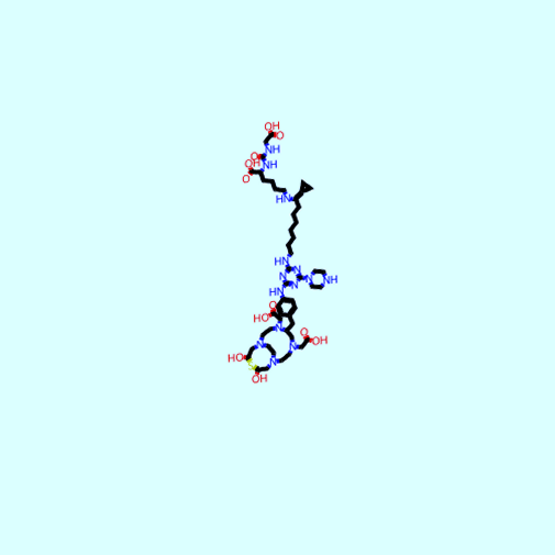 O=C(O)CNC(=O)NC(CCCCNC(CCCCCCCNc1nc(Nc2ccc(CC3CN(CC(=O)O)CCN4CCN(CCN3CC(=O)O)CC(O)=S=C(O)C4)cc2)nc(N2CCNCC2)n1)=C1CC1)C(=O)O